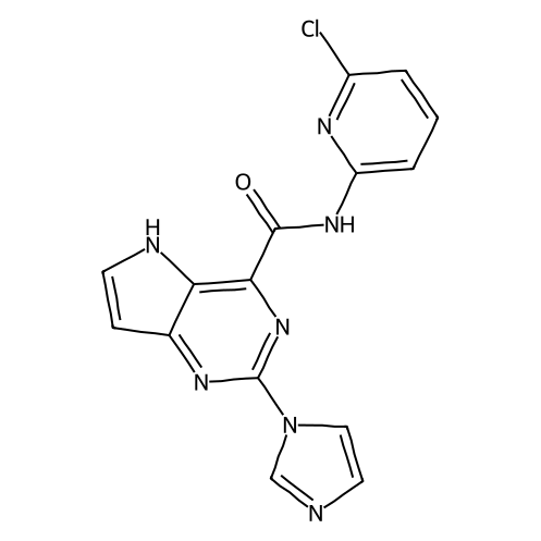 O=C(Nc1cccc(Cl)n1)c1nc(-n2ccnc2)nc2cc[nH]c12